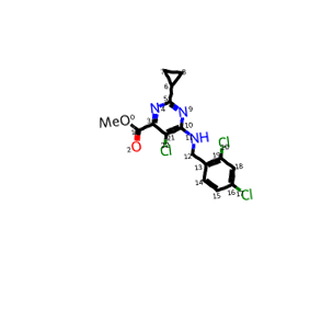 COC(=O)c1nc(C2CC2)nc(NCc2ccc(Cl)cc2Cl)c1Cl